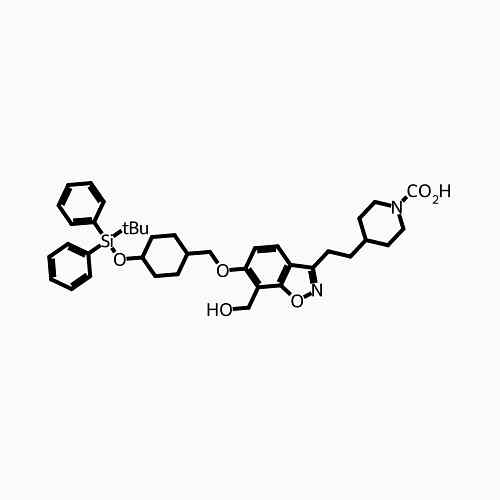 CC(C)(C)[Si](OC1CCC(COc2ccc3c(CCC4CCN(C(=O)O)CC4)noc3c2CO)CC1)(c1ccccc1)c1ccccc1